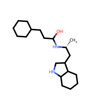 C[C@H](CC1CNC2CCCCC12)NC(O)CCC1CCCCC1